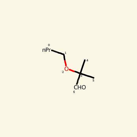 CCCCOC(C)(C)C=O